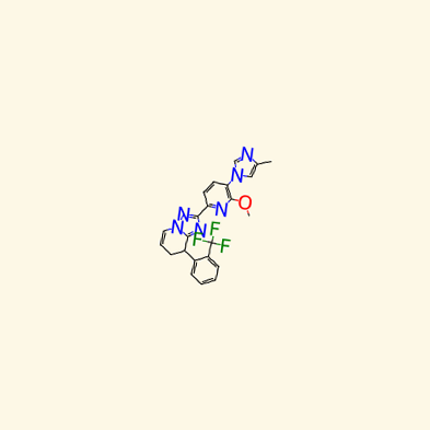 COc1nc(-c2nc3n(n2)C=CCC3c2ccccc2C(F)(F)F)ccc1-n1cnc(C)c1